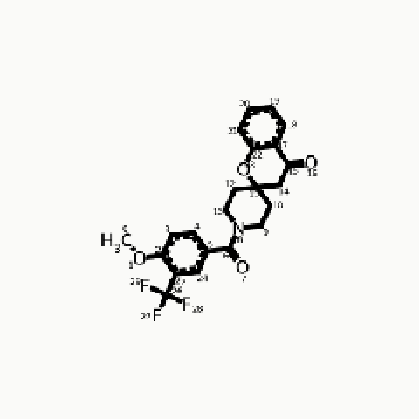 COc1ccc(C(=O)N2CCC3(CC2)CC(=O)c2ccccc2O3)cc1C(F)(F)F